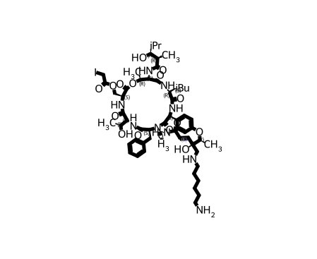 CC[C@H](C)[C@H]1NC(=O)[C@@H](NC(=O)[C@H](C)[C@H](O)C(C)C)[C@@H](C)OC(=O)[C@H](COC(=O)CI)NC(=O)[C@@H]([C@@H](C)O)NC(=O)[C@H](Cc2ccccc2)N(C)C(=O)[C@H](c2ccc(O[C@H](C)[C@](O)(/C=C/C(N)=O)CNCCCCCCN)cc2)NC1=O